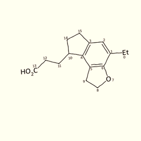 CCc1cc2c(c3c1OCC3)C(CCC(=O)O)CC2